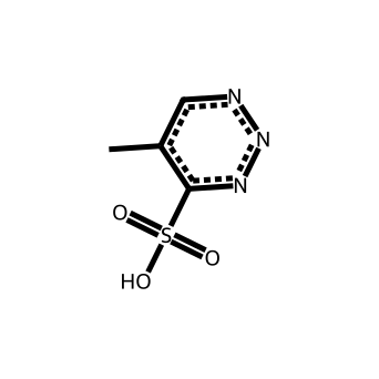 Cc1cnnnc1S(=O)(=O)O